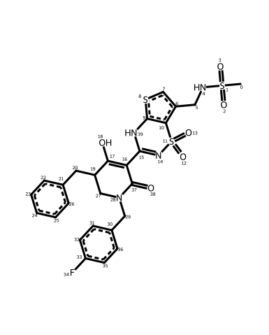 CS(=O)(=O)NCc1csc2c1S(=O)(=O)N=C(C1=C(O)C(Cc3ccccc3)CN(Cc3ccc(F)cc3)C1=O)N2